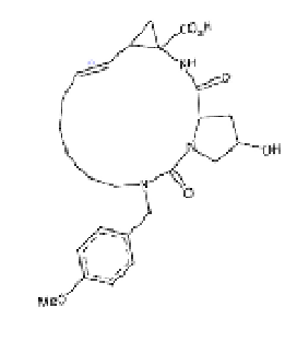 COc1ccc(CN2CCCCC/C=C/C3CC3(C(=O)O)NC(=O)C3CC(O)CN3C2=O)cc1